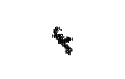 CN1CCN(CCNc2ccc(S(=O)(=O)NC(=O)c3ccc(N4CCN(C5CCCCc6c(Cl)cccc65)CC4)cc3Oc3cnc4[nH]ccc4c3)cc2[N+](=O)[O-])CC1